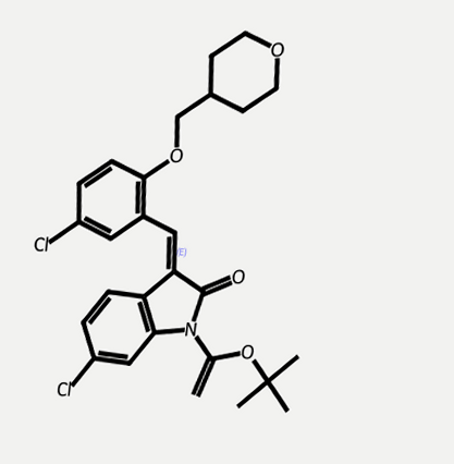 C=C(OC(C)(C)C)N1C(=O)/C(=C/c2cc(Cl)ccc2OCC2CCOCC2)c2ccc(Cl)cc21